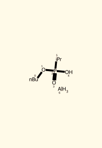 CCCCOP(=O)(O)C(C)C.[AlH3]